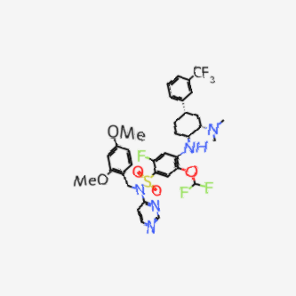 COc1ccc(CN(c2ccncn2)S(=O)(=O)c2cc(OC(F)F)c(N[C@H]3CC[C@H](c4cccc(C(F)(F)F)c4)C[C@@H]3N(C)C)cc2F)c(OC)c1